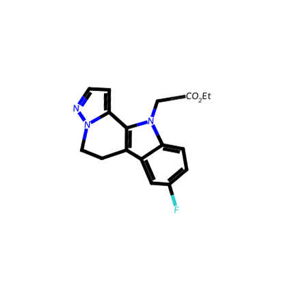 CCOC(=O)Cn1c2c(c3cc(F)ccc31)CCn1nccc1-2